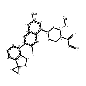 C=CC(=O)N1CCN(c2nc(OC)nc3cc(-c4cccc5c4CCC54CC4)c(F)cc23)C[C@@H]1CC#N